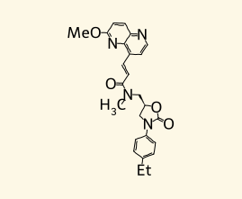 CCc1ccc(N2C[C@@H](CN(C)C(=O)C=Cc3ccnc4ccc(OC)nc34)OC2=O)cc1